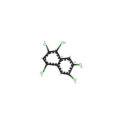 Clc1cc2c(Cl)cc(Cl)c(Cl)c2cc1Cl